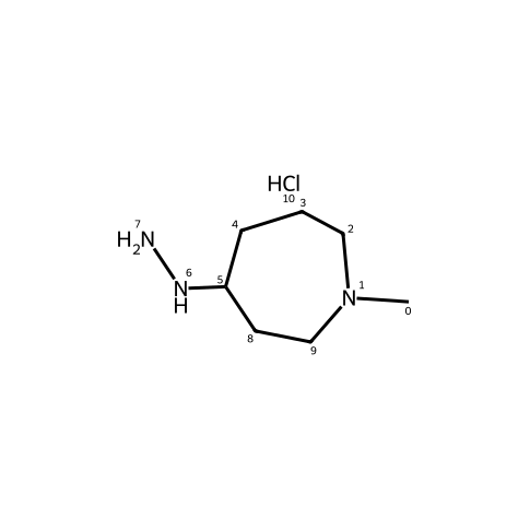 CN1CCCC(NN)CC1.Cl